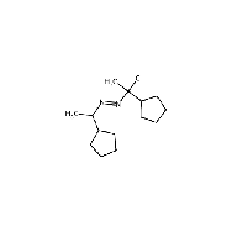 CC(N=NC(C)(Cl)C1CCCC1)C1CCCC1